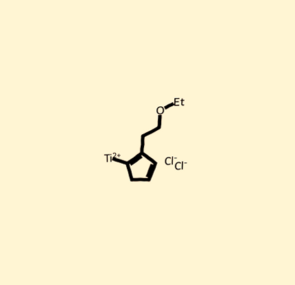 CCOCCC1=[C]([Ti+2])CC=C1.[Cl-].[Cl-]